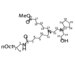 CCCCCCCCC(C)CNC(=O)CCCCCN(CCCCCC(=O)OC)CCN(CCO)C1CCCC1